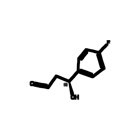 O=CC[C@H](O)c1ccc(F)cc1